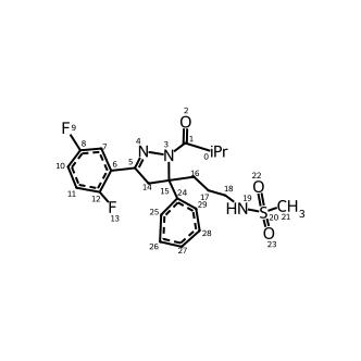 CC(C)C(=O)N1N=C(c2cc(F)ccc2F)CC1(CCCNS(C)(=O)=O)c1ccccc1